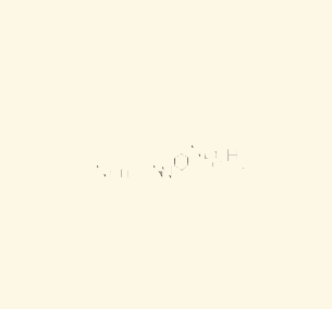 C=CC(=O)Nc1ccc(N=NCCCCCCCCCCCC)cc1